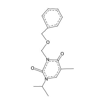 Cc1cn(C(C)C)c(=O)n(COCc2ccccc2)c1=O